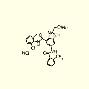 COCc1nc2c(C(=O)Nc3c(C)cccc3Cl)cc(NC(=O)c3ccccc3C(F)(F)F)cc2[nH]1.Cl